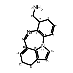 NCC1CC=CC2=C1N=CC1=CCCc3ccn2c31